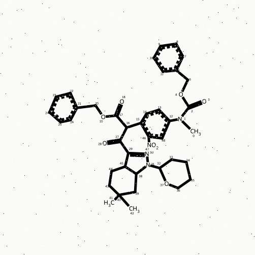 CN(C(=O)OCc1ccccc1)c1ccc(C(C(=O)OCc2ccccc2)C(=O)C2=NN(C3CCCCO3)C3CC(C)(C)CCC23)c([N+](=O)[O-])c1